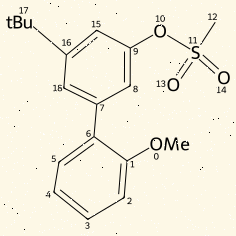 COc1ccccc1-c1cc(OS(C)(=O)=O)cc(C(C)(C)C)c1